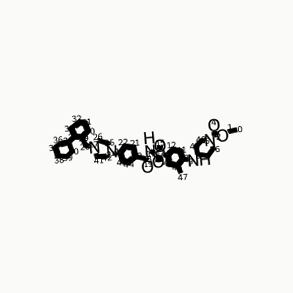 CCOC(=O)N1CCC(Nc2ccc(S(=O)(=O)NC(=O)c3ccc(N4CCN(Cc5ccccc5C5=CC=CCC5)CC4)cc3)cc2C)CC1